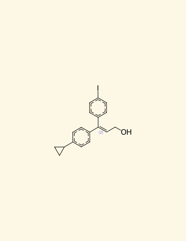 OC/C=C(\c1ccc(I)cc1)c1ccc(C2CC2)cc1